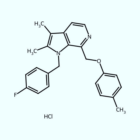 Cc1ccc(OCc2nccc3c(C)c(C)n(Cc4ccc(F)cc4)c23)cc1.Cl